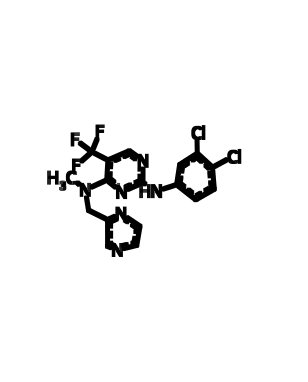 CN(Cc1cnccn1)c1nc(Nc2ccc(Cl)c(Cl)c2)ncc1C(F)(F)F